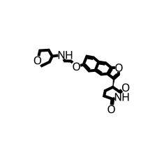 O=C1CC[C@@H](c2coc3cc4ccc(OCCNC5CCOCC5)cc4cc23)C(=O)N1